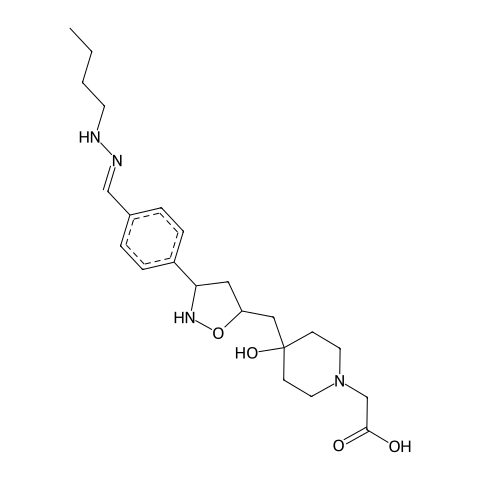 CCCCNN=Cc1ccc(C2CC(CC3(O)CCN(CC(=O)O)CC3)ON2)cc1